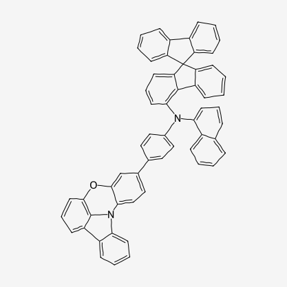 c1ccc2c(c1)-c1ccccc1C21c2ccccc2-c2c(N(c3ccc(-c4ccc5c(c4)Oc4cccc6c7ccccc7n-5c46)cc3)c3cccc4ccccc34)cccc21